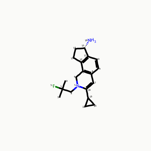 CC(C)(F)CN1Cc2c(ccc3c2CC[C@@H]3N)C=C1C1CC1